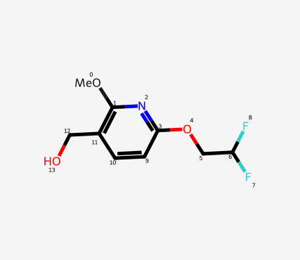 COc1nc(OCC(F)F)ccc1CO